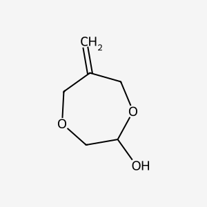 C=C1COCC(O)OC1